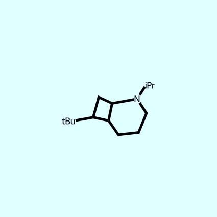 CC(C)N1CCCC2C1CC2C(C)(C)C